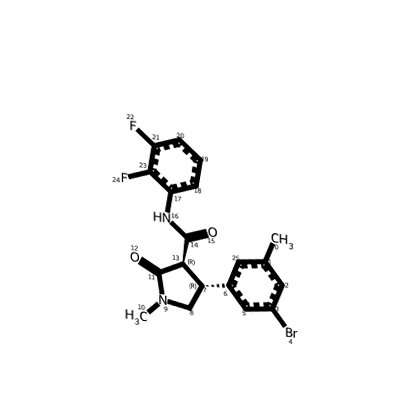 Cc1cc(Br)cc([C@@H]2CN(C)C(=O)[C@H]2C(=O)Nc2cccc(F)c2F)c1